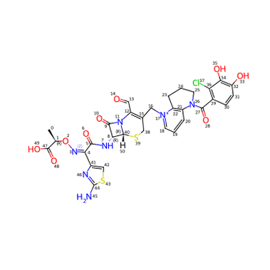 C[C@@H](O/N=C(\C(=O)N[C@@H]1C(=O)N2C(C=O)=C(C[n+]3cccc4c3CCCN4C(=O)c3ccc(O)c(O)c3Cl)CS[C@H]12)c1csc(N)n1)C(=O)O